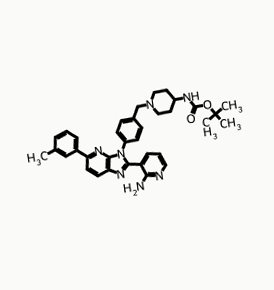 Cc1cccc(-c2ccc3nc(-c4cccnc4N)n(-c4ccc(CN5CCC(NC(=O)OC(C)(C)C)CC5)cc4)c3n2)c1